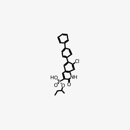 CCC(C)OP(=O)(O)c1cc2cc(-c3ccc(-c4ccccc4)cc3)c(Cl)cc2[nH]c1=O